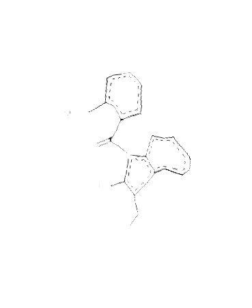 COc1ccccc1C(=O)n1c(C)c(CC(=O)O)c2ccccc21